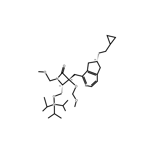 COCO[C@@]1(Cc2nccc3c2C[C@H](CCC2CC2)C3)C(=O)N(COC)[C@H]1CO[Si](C(C)C)(C(C)C)C(C)C